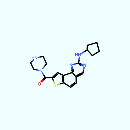 O=C(c1cc2c(ccc3cnc(NC4CCCC4)nc32)s1)N1CCNCC1